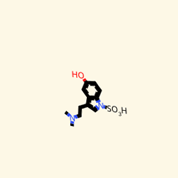 CN(C)CCc1cn(S(=O)(=O)O)c2ccc(O)cc12